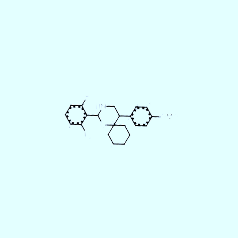 COc1ccc(C2CNC(c3c(F)cccc3F)OC23CCCCC3)cc1